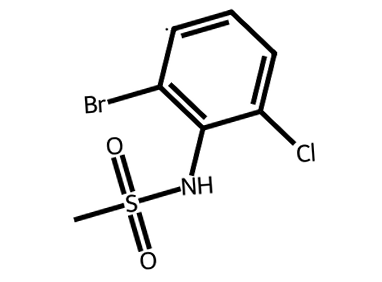 CS(=O)(=O)Nc1c(Br)[c]ccc1Cl